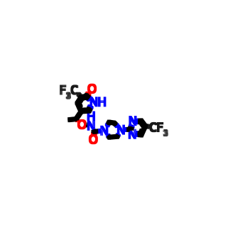 CC(ONC(=O)N1CCN(c2ncc(C(F)(F)F)cn2)CC1)c1c[nH]c(=O)c(C(F)(F)F)c1